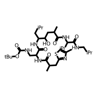 Cc1csc(CC(C)C(=O)NC(CNC(=O)OC(C)(C)C)C(=O)NC(CC(C)C)C(O)CC(C)C(=O)NC(C(=O)NCC(C)C)C(C)C)n1